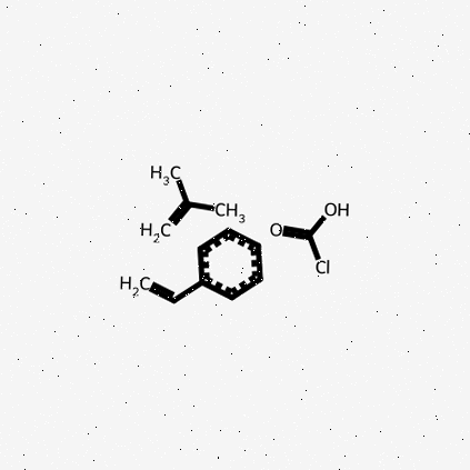 C=C(C)C.C=Cc1ccccc1.O=C(O)Cl